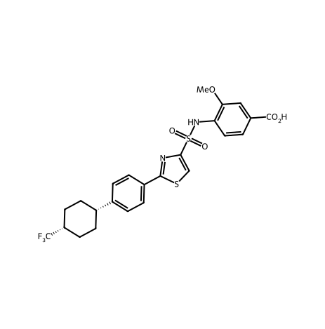 COc1cc(C(=O)O)ccc1NS(=O)(=O)c1csc(-c2ccc([C@H]3CC[C@@H](C(F)(F)F)CC3)cc2)n1